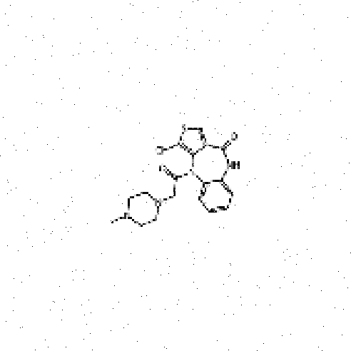 CN1CCN(CC(=O)N2c3ccccc3NC(=O)c3csc(Cl)c32)CC1